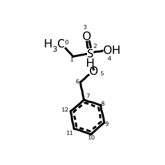 CC[SH](=O)(O)OCc1ccccc1